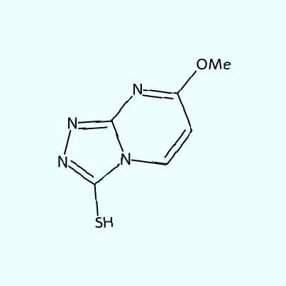 COc1ccn2c(S)nnc2n1